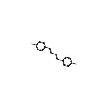 Cc1ccc(C=CC=Cc2ccc(C)cc2)cc1